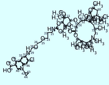 CC[C@H]1OC(=O)[C@H](C)[C@@H](O[C@H]2C[C@@](C)(OC)[C@@H](OC(=O)NCCCOCCOCCNc3cc4c(=O)c(C(=O)O)cn(C5CC5)c4cc3Cl)[C@H](C)O2)[C@H](C)[C@@H](O[C@@H]2O[C@H](C)CC(N(C)C)[C@H]2O)[C@](C)(O)C[C@@H](C)CN(C)[C@H](C)[C@@H](O)[C@]1(C)O